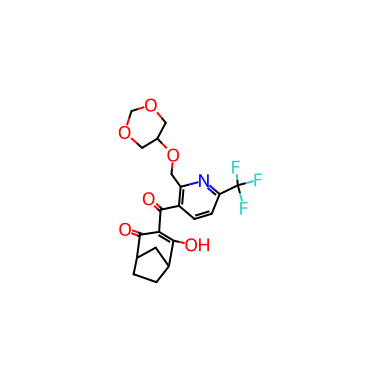 O=C(C1=C(O)C2CCC(C2)C1=O)c1ccc(C(F)(F)F)nc1COC1COCOC1